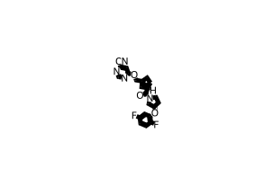 N#Cc1cc(OCC23CC(C2)[C@@H](C(=O)N2CC[C@@H](Oc4cc(F)ccc4F)C2)C3)ncn1